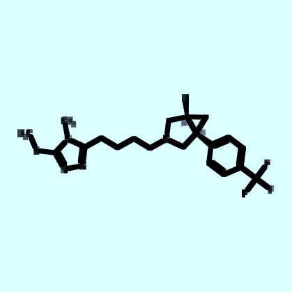 CSc1nnc(CCCCN2C[C@@H]3C[C@]3(c3ccc(C(F)(F)F)cc3)C2)n1C